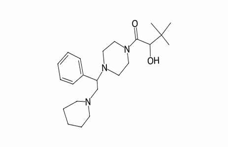 CC(C)(C)C(O)C(=O)N1CCN(C(CN2CCCCC2)c2ccccc2)CC1